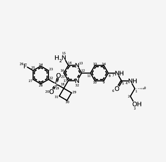 C[C@H](CO)NC(=O)Nc1ccc(-c2nc(N)cc(C3(S(=O)(=O)c4ccc(F)cc4)CCC3)n2)cc1